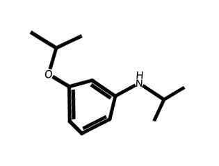 CC(C)Nc1cccc(OC(C)C)c1